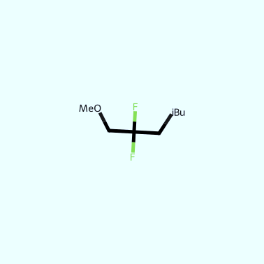 CCC(C)CC(F)(F)COC